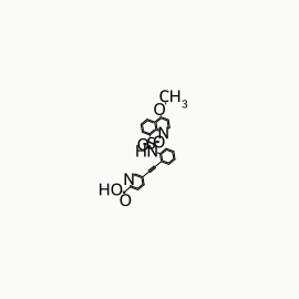 CCOc1ccnc2c(S(=O)(=O)Nc3ccccc3C#Cc3ccc(C(=O)O)nc3)cccc12